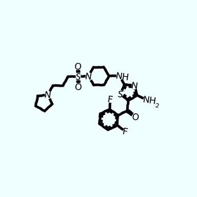 Nc1nc(NC2CCN(S(=O)(=O)CCCN3CCCC3)CC2)sc1C(=O)c1c(F)cccc1F